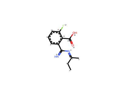 CC/C(C)=N\C(=N)c1cccc(F)c1C(=O)O